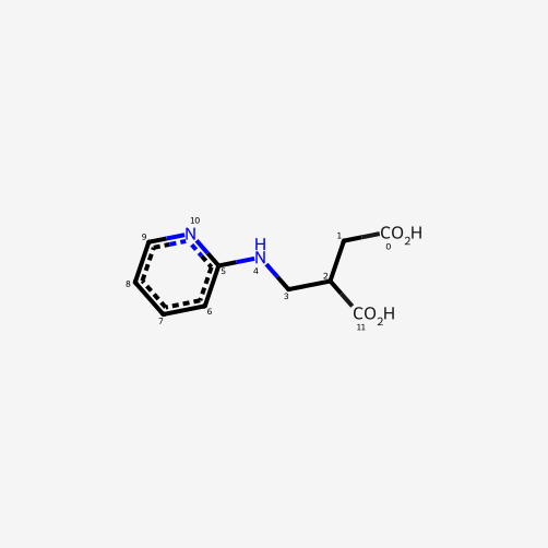 O=C(O)CC(CNc1ccccn1)C(=O)O